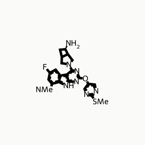 CNc1cc(F)cc2c1[nH]c1nc(Oc3cnc(SC)nc3)nc(N3CC4C[C@@H](N)C4C3)c12